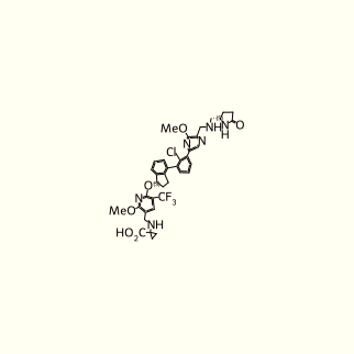 COc1nc(O[C@H]2CCc3c(-c4cccc(-c5cnc(CNC[C@@H]6CCC(=O)N6)c(OC)n5)c4Cl)cccc32)c(C(F)(F)F)cc1CNC1(C(=O)O)CC1